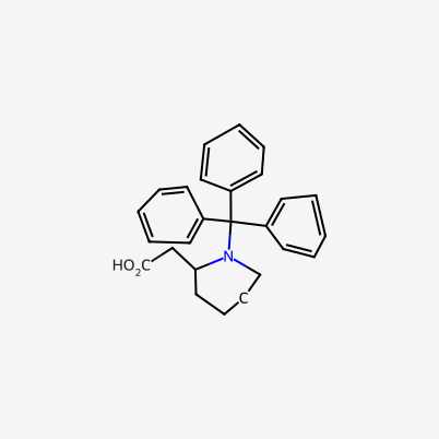 O=C(O)CC1CCCCN1C(c1ccccc1)(c1ccccc1)c1ccccc1